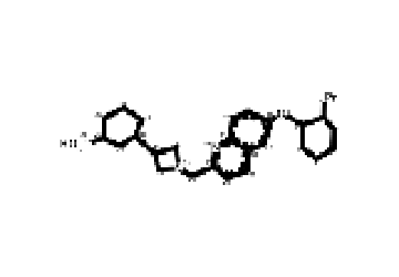 CC(C)C1CCCCC1Oc1ccc2nc(CN3CC(C4CCCC(C(=O)O)C4)C3)ccc2c1